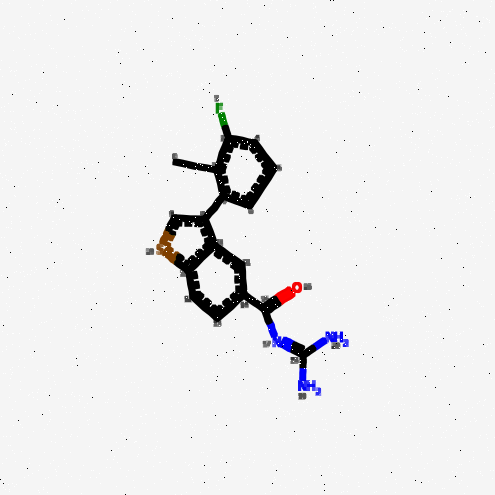 Cc1c(F)cccc1-c1csc2ccc(C(=O)N=C(N)N)cc12